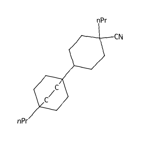 CCCC1(C#N)CCC(C23CCC(CCC)(CC2)CC3)CC1